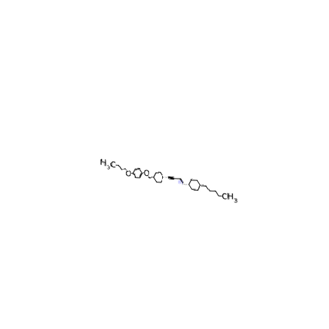 CCCCC[C@H]1CC[C@H](/C=C/C#C[C@H]2CC[C@H](COc3ccc(OCCCC)cc3)CC2)CC1